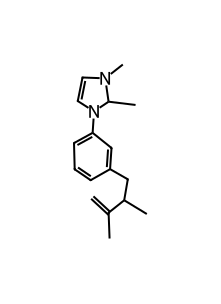 C=C(C)C(C)Cc1cccc(N2C=CN(C)C2C)c1